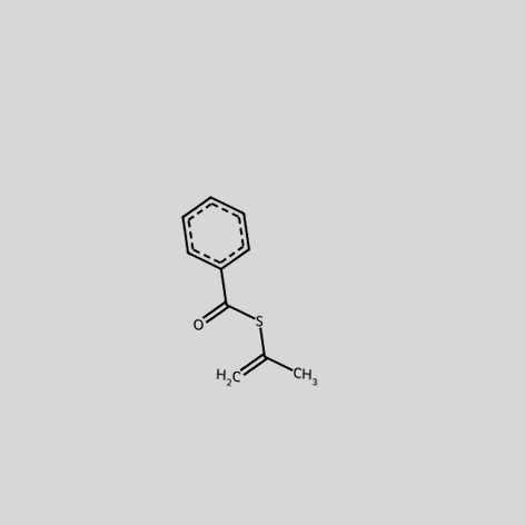 C=C(C)SC(=O)c1ccccc1